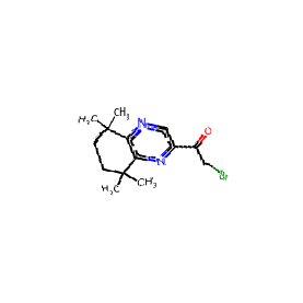 CC1(C)CCC(C)(C)c2nc(C(=O)CBr)cnc21